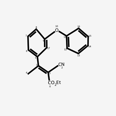 CCOC(=O)C(C#N)=C(C)c1cccc(Oc2ccccc2)c1